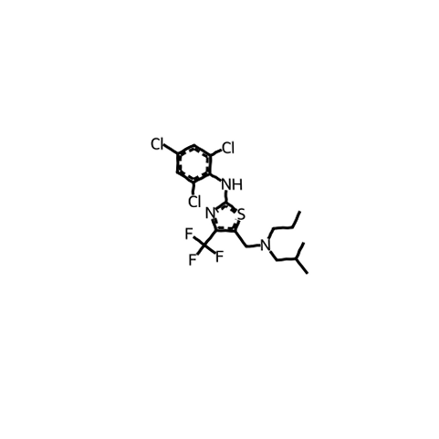 CCCN(Cc1sc(Nc2c(Cl)cc(Cl)cc2Cl)nc1C(F)(F)F)CC(C)C